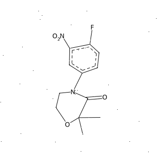 CC1(C)OCCN(c2ccc(F)c([N+](=O)[O-])c2)C1=O